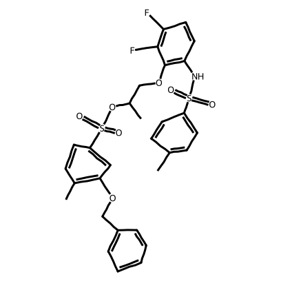 Cc1ccc(S(=O)(=O)Nc2ccc(F)c(F)c2OCC(C)OS(=O)(=O)c2ccc(C)c(OCc3ccccc3)c2)cc1